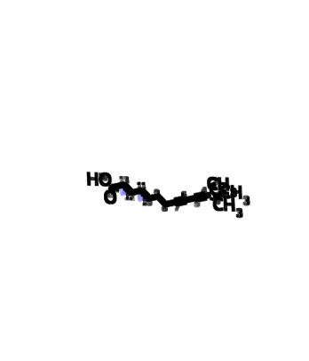 C[Si](C)(C)C#CC#CCC/C=C/C=C/C(=O)O